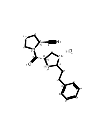 Cl.N#C[C@@H]1CSCN1C(=O)[C@@H]1CSC(CCc2ccccc2)N1